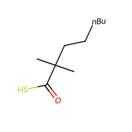 CCCCCCC(C)(C)C(=O)S